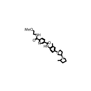 COCCNC(=O)c1ccc(C(=O)Nc2ccc(N3CCC(N4CCCC4C)C3)cc2C)cn1